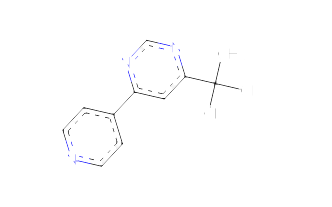 CC(C)(C)c1cc(-c2ccncc2)ncn1